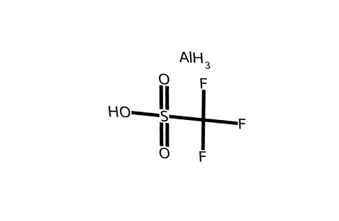 O=S(=O)(O)C(F)(F)F.[AlH3]